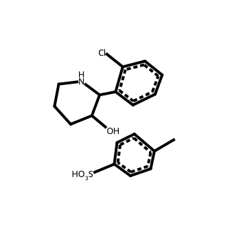 Cc1ccc(S(=O)(=O)O)cc1.OC1CCCNC1c1ccccc1Cl